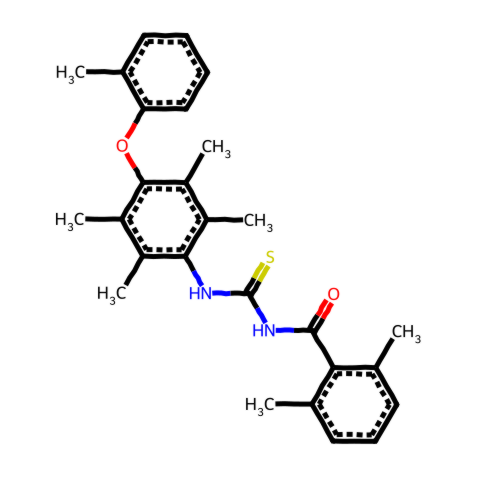 Cc1ccccc1Oc1c(C)c(C)c(NC(=S)NC(=O)c2c(C)cccc2C)c(C)c1C